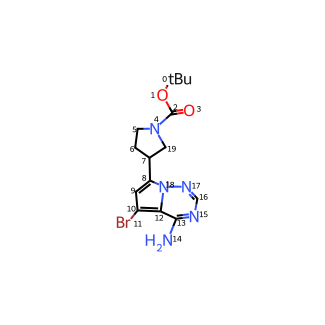 CC(C)(C)OC(=O)N1CCC(c2cc(Br)c3c(N)ncnn23)C1